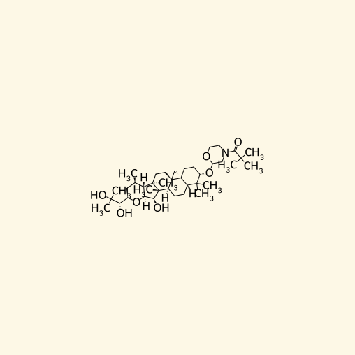 C[C@@H]1C[C@H]([C@H](O)C(C)(C)O)O[C@H]2[C@H]1[C@@]1(C)CC[C@@]34C[C@@]35CC[C@H](OC3CN(C(=O)C(C)(C)C)CCO3)C(C)(C)[C@@H]5CC[C@H]4[C@]1(C)[C@H]2O